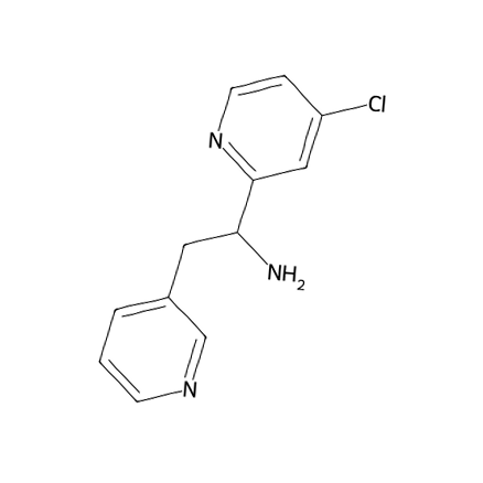 NC(Cc1cccnc1)c1cc(Cl)ccn1